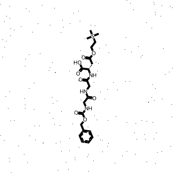 CS(C)(C)CCOC(=O)C[C@H](NC(=O)CNC(=O)CNC(=O)OCc1ccccc1)C(=O)O